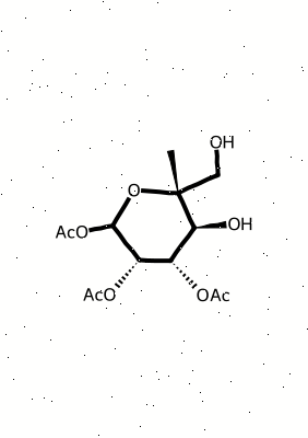 CC(=O)OC1O[C@](C)(CO)[C@@H](O)[C@H](OC(C)=O)[C@@H]1OC(C)=O